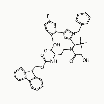 CC(C)(C)[C@H](c1cc(-c2cc(F)ccc2F)cn1Cc1ccccc1)N(CCC(NC(=O)OCC1c2ccccc2-c2ccccc21)C(=O)O)C(=O)CO